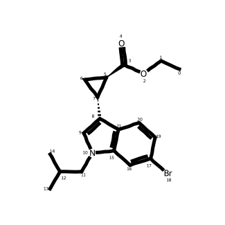 CCOC(=O)[C@@H]1C[C@H]1c1cn(CC(C)C)c2cc(Br)ccc12